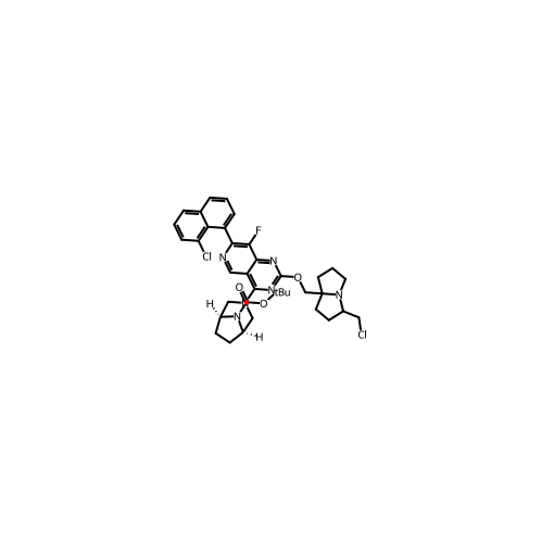 CC(C)(C)OC(=O)N1[C@@H]2CC[C@H]1CN(c1nc(OCC34CCCN3C(CCl)CC4)nc3c(F)c(-c4cccc5cccc(Cl)c45)ncc13)C2